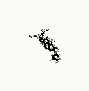 COCC(=O)O[C@]1(C(=O)SCC#N)CC[C@H]2[C@@H]3CCC4=Cc5c(cnn5-c5ccc(F)nc5)C[C@]4(C)[C@@]3(F)[C@@H](O)C[C@@]21C